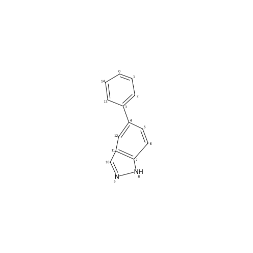 c1ccc(-c2ccc3[nH]ncc3c2)cc1